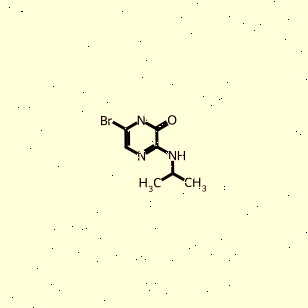 CC(C)NC1=NC=C(Br)[N]C1=O